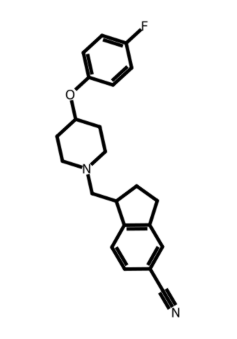 N#Cc1ccc2c(c1)CCC2CN1CCC(Oc2ccc(F)cc2)CC1